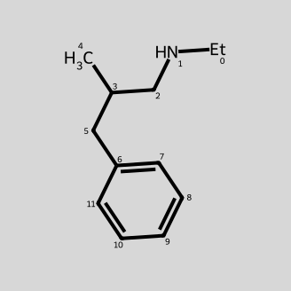 CCNCC(C)Cc1ccccc1